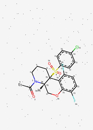 CCC(=O)N1CCC[C@]2(S(=O)(=O)c3ccc(Cl)cc3)c3c(F)ccc(F)c3OC[C@H]12